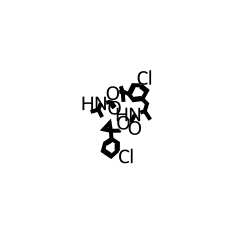 CC(C)NC(=O)OC(C)(C)c1cc(Cl)cc(CC(C)NC(=O)OCC2(c3cccc(Cl)c3)CC2)c1